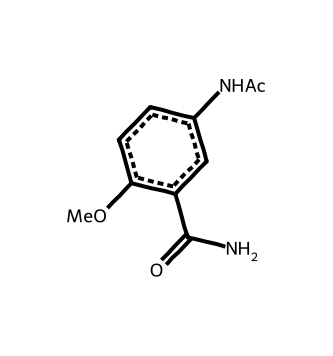 COc1ccc(NC(C)=O)cc1C(N)=O